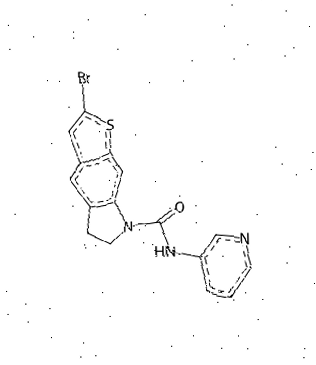 O=C(Nc1cccnc1)N1CCc2cc3cc(Br)sc3cc21